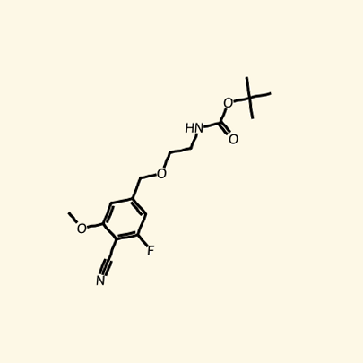 COc1cc(COCCNC(=O)OC(C)(C)C)cc(F)c1C#N